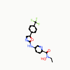 CCN(O)C(=O)c1ccc(Nc2ncc(-c3ccc(C(F)(F)F)cc3)o2)cn1